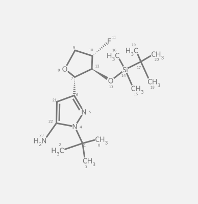 CC(C)(C)n1nc([C@@H]2OC[C@H](F)[C@H]2O[Si](C)(C)C(C)(C)C)cc1N